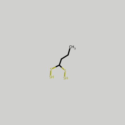 CCCC(SS)SS